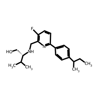 CCC(C)c1ccc(-c2ccc(F)c(CN[C@@H](CO)C(C)C)n2)cc1